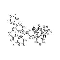 CC1(C)c2ccccc2-c2c(N(c3ccc(-c4ccccc4)cc3)c3ccc4c(c3)-c3ccccc3[C@]43[C@@H]4CC5C[C@@H](C4)C[C@@H]3C5)cccc21